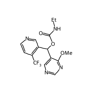 CCNC(=O)OC(c1cnccc1C(F)(F)F)c1cncnc1OC